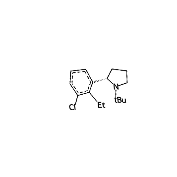 CCc1c(Cl)cccc1[C@@H]1CCCN1C(C)(C)C